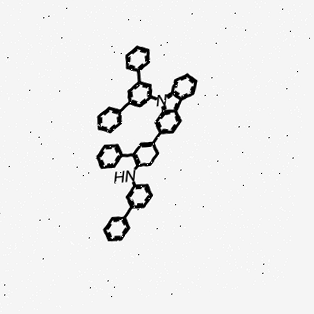 C1=C(c2ccc3c4ccccc4n(-c4cc(-c5ccccc5)cc(-c5ccccc5)c4)c3c2)CCC(Nc2cccc(-c3ccccc3)c2)=C1c1ccccc1